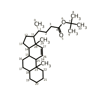 C[C@H](CCC(=O)OC(C)(C)C)C1CCC2C3CCC4CCCCC4(C)C3C=CC21C